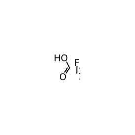 O=CO.[C]F